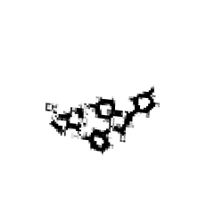 CCn1cnc2c(Nc3cccc(NC(=O)C#Cc4ccc(C)cc4)c3)nc(NC3CCC(O)CC3)nc21